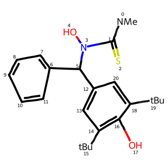 CNC(=S)N(O)C(c1ccccc1)c1cc(C(C)(C)C)c(O)c(C(C)(C)C)c1